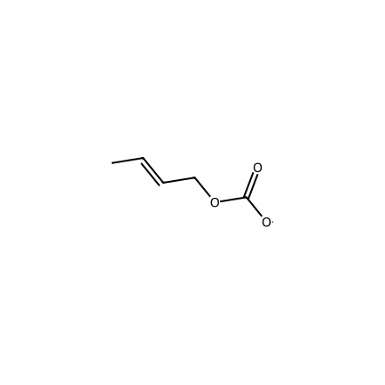 CC=CCOC([O])=O